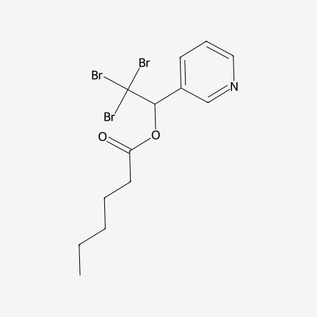 CCCCCC(=O)OC(c1cccnc1)C(Br)(Br)Br